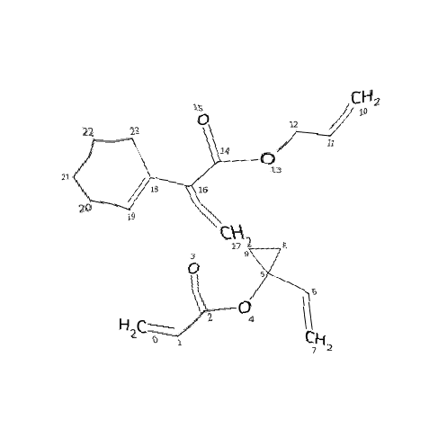 C=CC(=O)OC1(C=C)CC1.C=CCOC(=O)C(=C)C1=CCCCC1